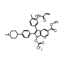 C=CC(=O)Nc1cc(-c2c(-c3ccc(C4CCN(C)CC4)cc3)n(OC(=O)C(F)(F)F)c3ncc(C(=O)OC(C)C)cc23)ccc1C